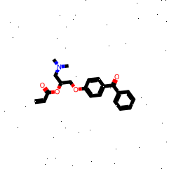 C=CC(=O)OC(COc1ccc(C(=O)c2ccccc2)cc1)CN(C)C